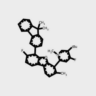 Cc1ccc2c(oc3c(-c4ccc5c(c4)-c4ccccc4C5(C)C)c(F)ccc32)c1-c1cc(F)c(C(C)(C)C)c[n+]1C